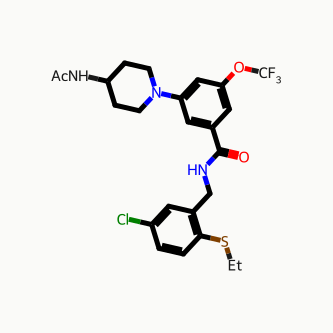 CCSc1ccc(Cl)cc1CNC(=O)c1cc(OC(F)(F)F)cc(N2CCC(NC(C)=O)CC2)c1